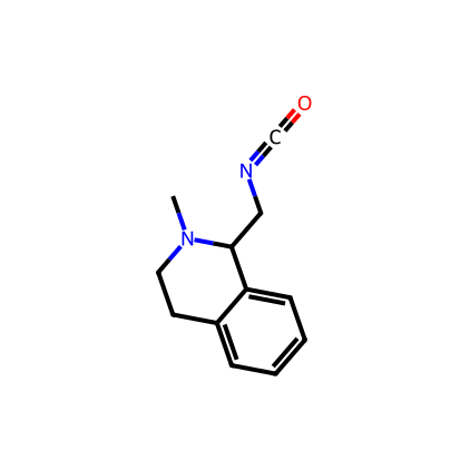 CN1CCc2ccccc2C1CN=C=O